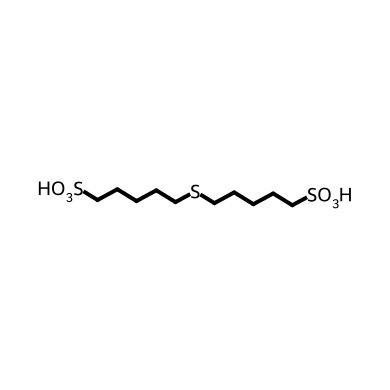 O=S(=O)(O)CCCCCSCCCCCS(=O)(=O)O